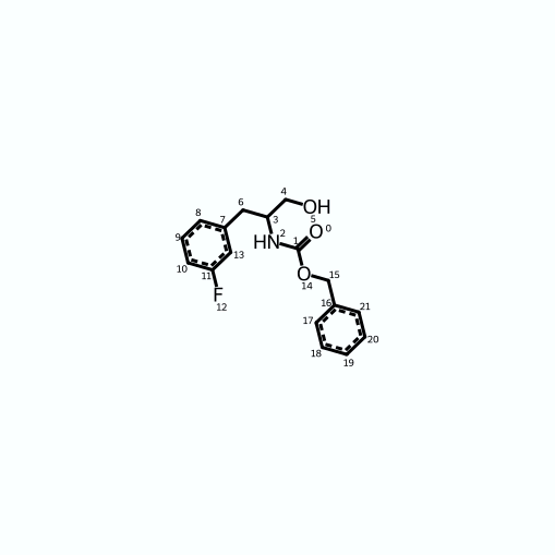 O=C(NC(CO)Cc1cccc(F)c1)OCc1ccccc1